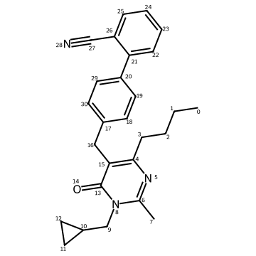 CCCCc1nc(C)n(CC2CC2)c(=O)c1Cc1ccc(-c2ccccc2C#N)cc1